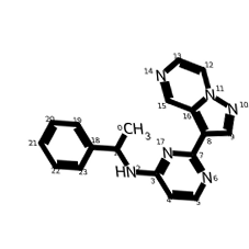 CC(Nc1ccnc(-c2cnn3ccncc23)n1)c1ccccc1